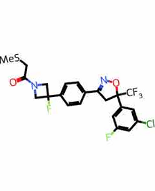 CSCC(=O)N1CC(F)(c2ccc(C3=NOC(c4cc(F)cc(Cl)c4)(C(F)(F)F)C3)cc2)C1